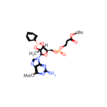 COc1nc(N)nc2c1ncn2[C@@H]1O[C@H](CO[PH](=O)OCCC(=O)OC(C)(C)C)[C@H]2OB(c3ccccc3)O[C@]21C